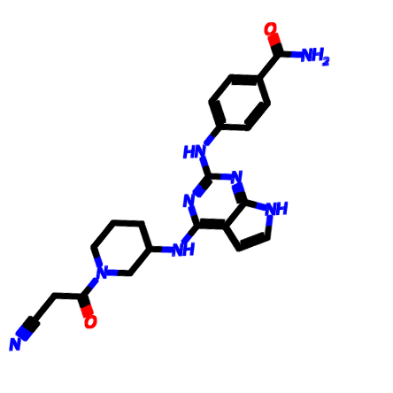 N#CCC(=O)N1CCCC(Nc2nc(Nc3ccc(C(N)=O)cc3)nc3[nH]ccc23)C1